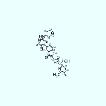 Cc1nc(C(CO)NC(=O)CN2Cc3ccc(-c4nc(NC5CCOCC5)ncc4Cl)cc3C2=O)ccc1F